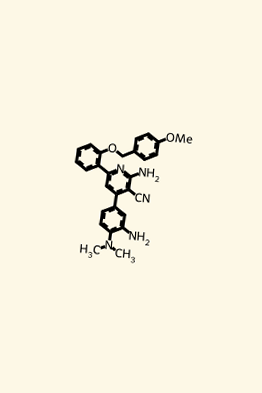 COc1ccc(COc2ccccc2-c2cc(-c3ccc(N(C)C)c(N)c3)c(C#N)c(N)n2)cc1